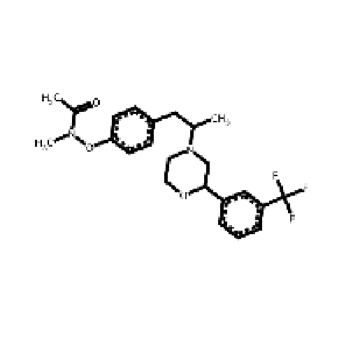 CC(=O)N(C)Oc1ccc(CC(C)N2CCOC(c3cccc(C(F)(F)F)c3)C2)cc1